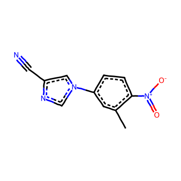 Cc1cc(-n2cnc(C#N)c2)ccc1[N+](=O)[O-]